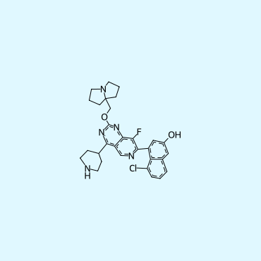 Oc1cc(-c2ncc3c(C4CCNCC4)nc(OCC45CCCN4CCC5)nc3c2F)c2c(Cl)cccc2c1